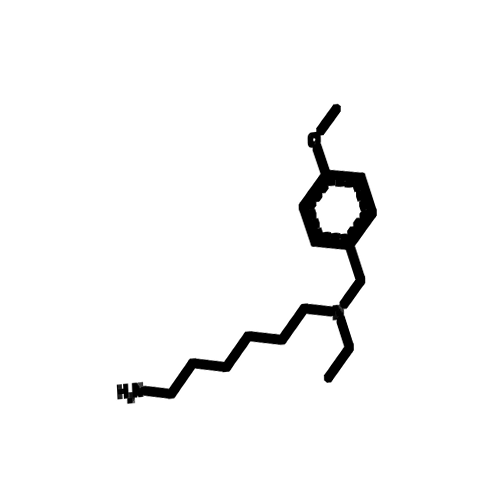 CCN(CCCCCCN)Cc1ccc(OC)cc1